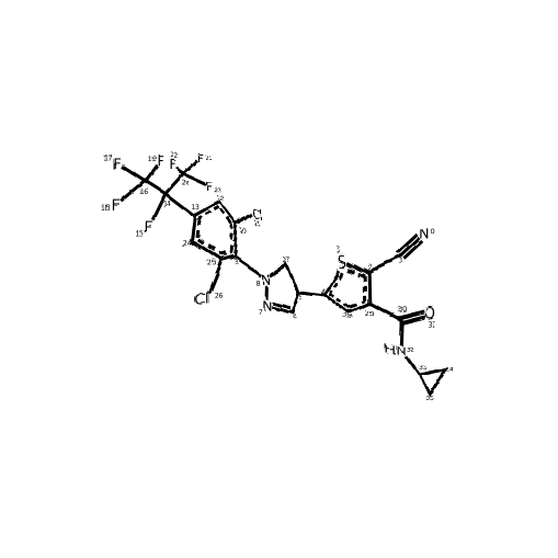 N#Cc1sc(C2C=NN(c3c(Cl)cc(C(F)(C(F)(F)F)C(F)(F)F)cc3Cl)C2)cc1C(=O)NC1CC1